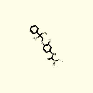 CN(C)C(=O)Nc1ccc(OCC(C)(C)c2ccccc2)c(Cl)c1